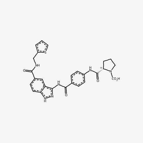 O=C(NCc1cccs1)c1ccc2[nH]nc(NC(=O)c3ccc(NC(=O)[C@@H]4CCCN4C(=O)O)cc3)c2c1